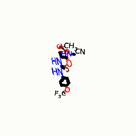 CS(=O)(=O)CC(NC(=S)Nc1ccc(OC(F)(F)F)cc1)C(=O)NCC#N